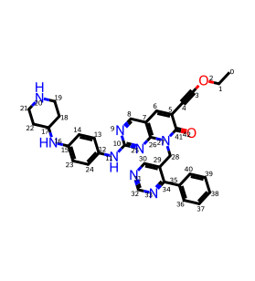 CCOC#Cc1cc2cnc(Nc3ccc(NC4CCNCC4)cc3)nc2n(Cc2cncnc2-c2ccccc2)c1=O